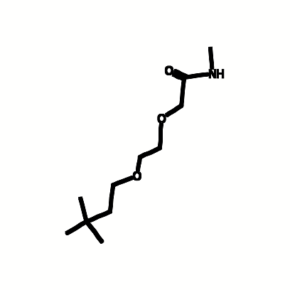 CNC(=O)COCCOCCC(C)(C)C